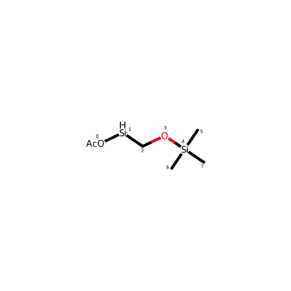 CC(=O)O[SiH]CO[Si](C)(C)C